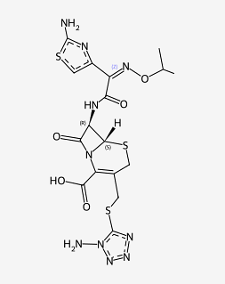 CC(C)O/N=C(\C(=O)N[C@@H]1C(=O)N2C(C(=O)O)=C(CSc3nnnn3N)CS[C@@H]12)c1csc(N)n1